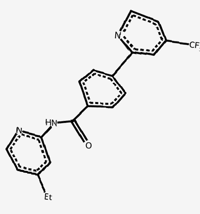 CCc1ccnc(NC(=O)c2ccc(-c3cc(C(F)(F)F)ccn3)cc2)c1